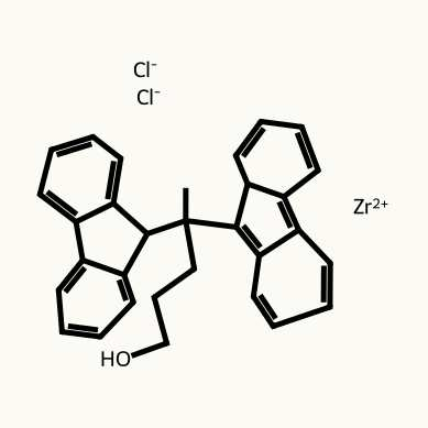 CC(CCCO)(C1=c2ccccc2=C2C=CC=CC21)C1c2ccccc2-c2ccccc21.[Cl-].[Cl-].[Zr+2]